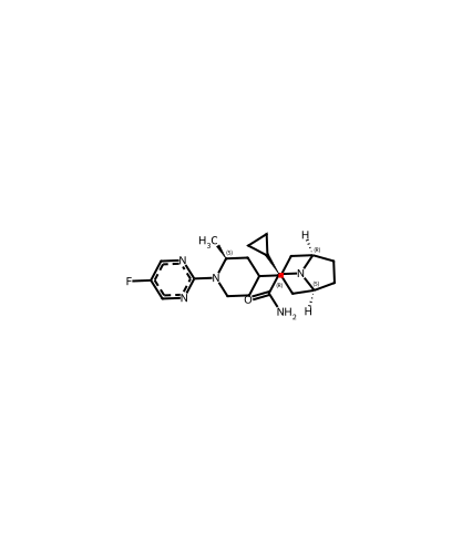 C[C@H]1CC(C2C[C@H]3CC[C@@H](C2)N3[C@@H](C(N)=O)C2CC2)CCN1c1ncc(F)cn1